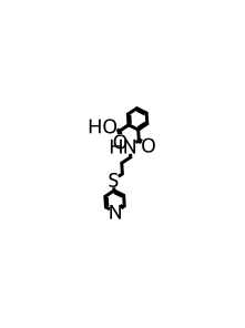 O=C(O)c1ccccc1C(=O)NCCCSc1ccncc1